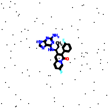 CC[C@H](Nc1nc(N)nc2[nH]cnc12)c1cc2ccc(F)cn2c(=O)c1-c1cccc(F)c1